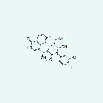 C[C@@H](c1c[nH]c(=O)c2ccc(F)cc12)N(CC(CO)CO)C(=O)Nc1ccc(F)c(Cl)c1